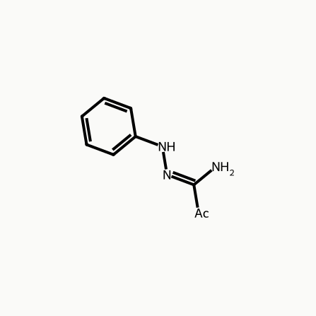 CC(=O)C(N)=NNc1ccccc1